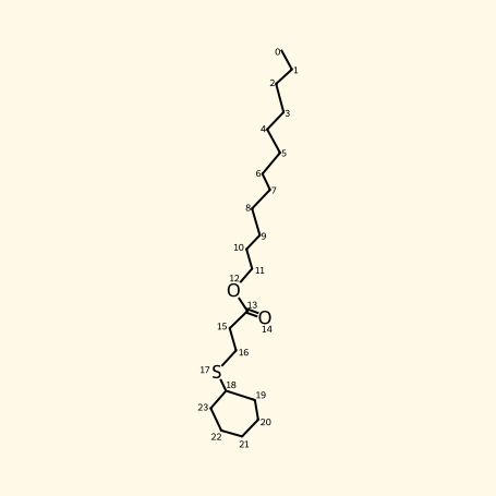 CCCCCCCCCCCCOC(=O)CCSC1CCCCC1